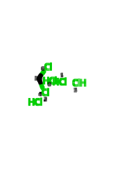 Cl.Cl.Cl.Cl.Cl[C]Cl